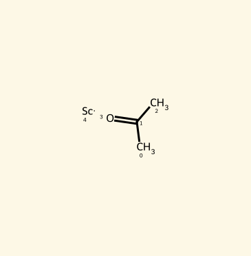 CC(C)=O.[Sc]